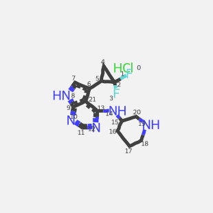 Cl.FC1(F)CC1c1c[nH]c2ncnc(NC3CCCNC3)c12